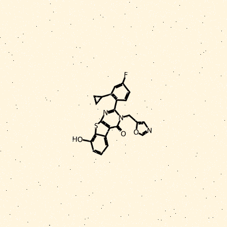 O=c1c2c(nc(-c3ccc(F)cc3C3CC3)n1Cc1cnco1)sc1c(O)cccc12